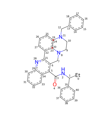 CCC(NC(=O)c1c(CN2CCN(Cc3ccccc3)CC2)c(-c2ccccc2)nc2ccccc12)c1ccccc1